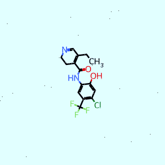 CCC1=C(C(=O)Nc2cc(C(F)(F)F)c(Cl)cc2O)CCN=C1